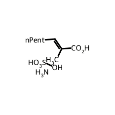 CCCCCC=C(C)C(=O)O.N.O=S(=O)(O)O